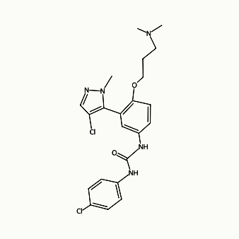 CN(C)CCCOc1ccc(NC(=O)Nc2ccc(Cl)cc2)cc1-c1c(Cl)cnn1C